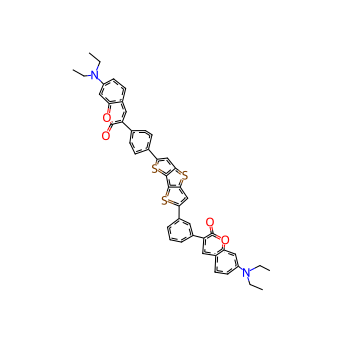 CCN(CC)c1ccc2cc(-c3ccc(-c4cc5sc6cc(-c7cccc(-c8cc9ccc(N(CC)CC)cc9oc8=O)c7)sc6c5s4)cc3)c(=O)oc2c1